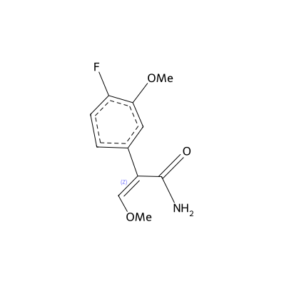 CO/C=C(\C(N)=O)c1ccc(F)c(OC)c1